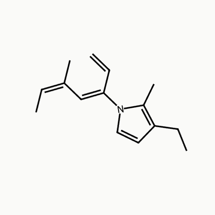 C=C/C(=C\C(C)=C/C)n1ccc(CC)c1C